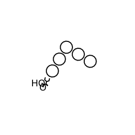 C1CCCCCCCCCCCCCC1.C1CCCCCCCCCCCCCC1.C1CCCCCCCCCCCCCC1.C1CCCCCCCCCCCCCC1.C1CCCCCCCCCCCCCC1.C=C(C(=O)O)C(CC)CC